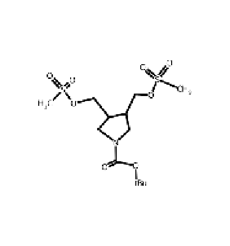 CC(C)(C)OC(=O)N1CC(COS(C)(=O)=O)C(COS(C)(=O)=O)C1